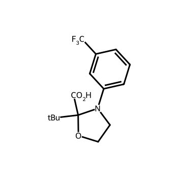 CC(C)(C)C1(C(=O)O)OCCN1c1cccc(C(F)(F)F)c1